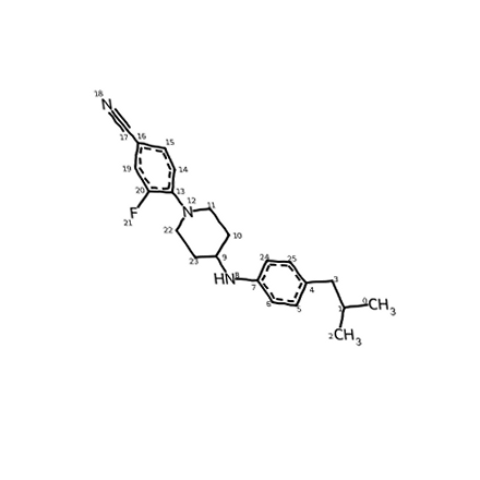 CC(C)Cc1ccc(NC2CCN(c3ccc(C#N)cc3F)CC2)cc1